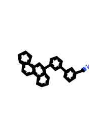 N#Cc1cccc(-c2cccc(-c3cc4c5ccccc5ccc4c4ccccc34)c2)c1